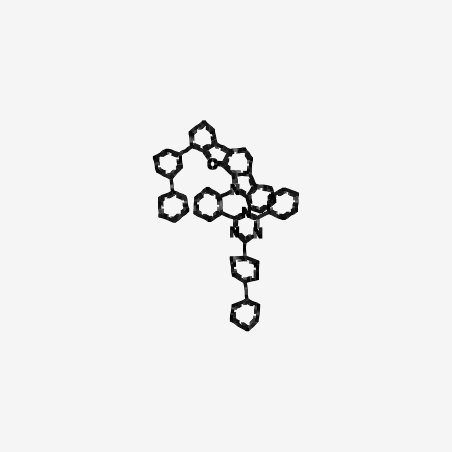 c1ccc(-c2ccc(-c3nc(-c4ccccc4)nc(-c4ccccc4-n4c5ccccc5c5ccc6c7cccc(-c8cccc(-c9ccccc9)c8)c7oc6c54)n3)cc2)cc1